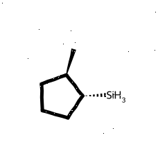 C[C@@H]1CCC[C@H]1[SiH3]